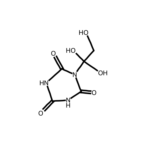 O=c1[nH]c(=O)n(C(O)(O)CO)c(=O)[nH]1